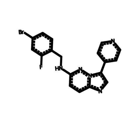 Fc1cc(Br)ccc1CNc1ccc2ncc(-c3ccncc3)n2n1